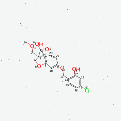 COCC1(C(=O)O)COc2cc(OCc3ccc(Cl)cc3O)ccc21